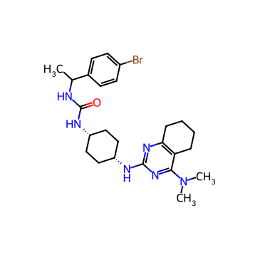 CC(NC(=O)N[C@H]1CC[C@@H](Nc2nc3c(c(N(C)C)n2)CCCC3)CC1)c1ccc(Br)cc1